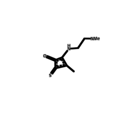 CNCCNc1c(C)c(=S)c1=O